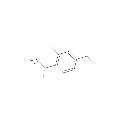 CCc1ccc([C@H](C)N)c(C)c1